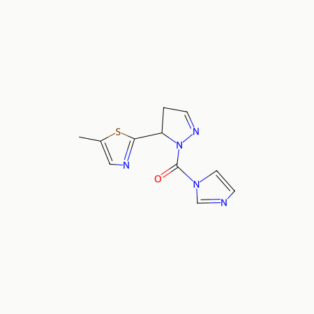 Cc1cnc(C2CC=NN2C(=O)n2ccnc2)s1